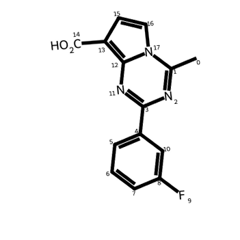 Cc1nc(-c2cccc(F)c2)nc2c(C(=O)O)ccn12